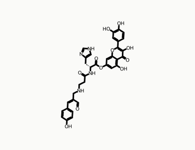 O=C/C(=C\c1ccc(O)cc1)CNCCC(=O)N[C@H](Cc1c[nH]cn1)C(=O)Oc1cc(O)c2c(=O)c(O)c(-c3ccc(O)c(O)c3)oc2c1